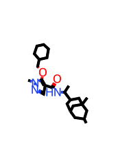 CC1CC2CC(C(C)NC(=O)c3cnn(C)c3OCC3CCCCC3)CC(C)(C1)C2